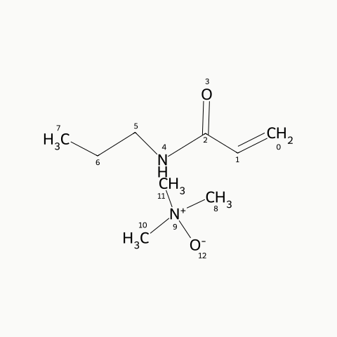 C=CC(=O)NCCC.C[N+](C)(C)[O-]